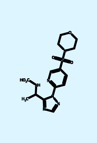 CC(NC(=O)O)c1ncnn1-c1ccc(S(=O)(=O)N2CCOCC2)cn1